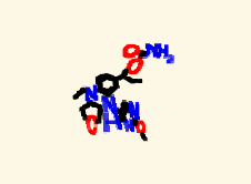 CCOc1ncc(Nc2cc(C(CC)COC(N)=O)ccc2N(CC)C2CCOCC2)cn1